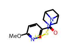 COc1ccc(C(=O)N2C3CC2CN(SS)C3)cn1